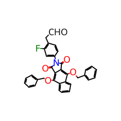 O=CCc1ccc(N2C(=O)c3c(c(OCc4ccccc4)c4ccccc4c3OCc3ccccc3)C2=O)cc1F